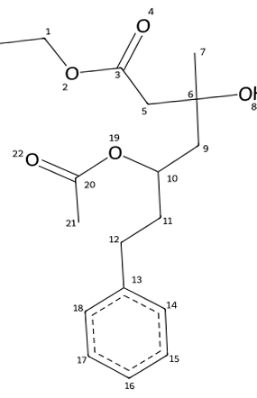 CCOC(=O)CC(C)(O)CC(CCc1ccccc1)OC(C)=O